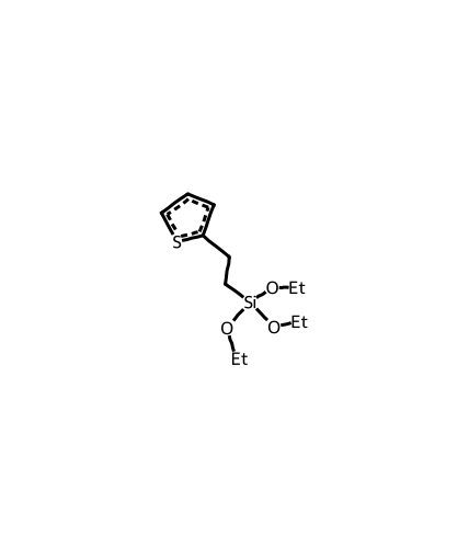 CCO[Si](CCc1cccs1)(OCC)OCC